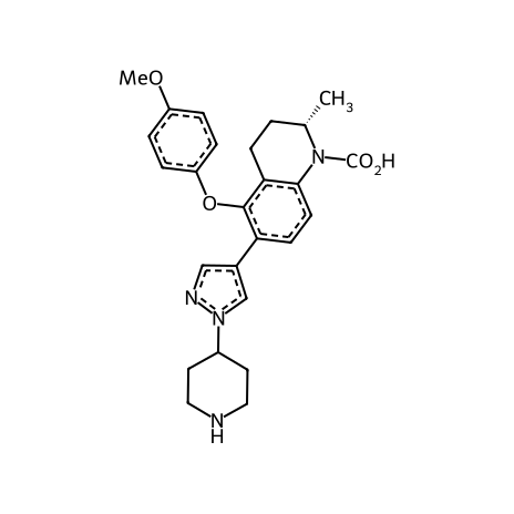 COc1ccc(Oc2c(-c3cnn(C4CCNCC4)c3)ccc3c2CC[C@H](C)N3C(=O)O)cc1